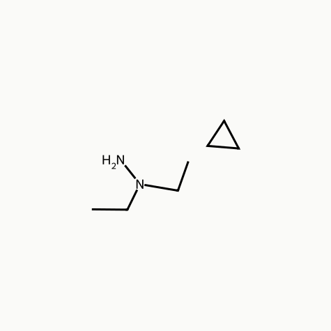 C1CC1.CCN(N)CC